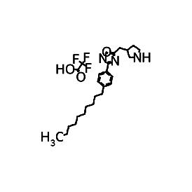 CCCCCCCCCCc1ccc(-c2noc(CC3CCNC3)n2)cc1.O=C(O)C(F)(F)F